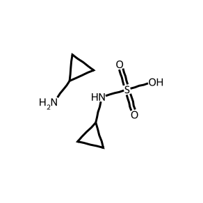 NC1CC1.O=S(=O)(O)NC1CC1